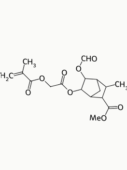 C=C(C)C(=O)OCC(=O)OC1C2CC(C(C)C2C(=O)OC)C1OC=O